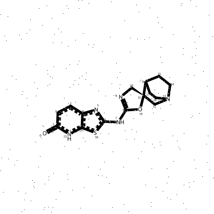 O=c1ccc2nc(NC3=NC[C@@]4(CN5CCC4CC5)O3)sc2[nH]1